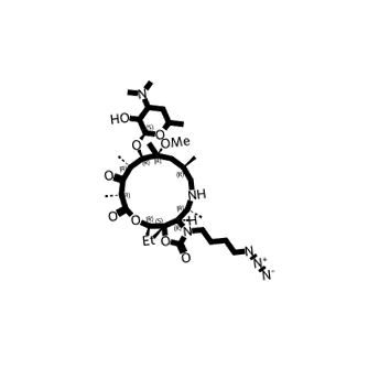 CC[C@H]1OC(=O)[C@H](C)C(=O)[C@H](C)[C@@H](O[C@@H]2OC(C)CC(N(C)C)C2O)[C@](C)(OC)C[C@@H](C)CN[C@H](C)[C@H]2N(CCCCN=[N+]=[N-])C(=O)O[C@]12C